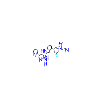 CN(C)CCNc1cc(F)cc(-c2cccc3[nH]c(-c4n[nH]c5ncc(-c6ccccn6)cc45)cc23)c1